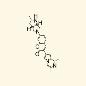 Cc1cn2cc(-c3cc4ccc(N5C[C@H]6CC(C)N[C@H]6C5)cc4oc3=O)cc2c(C)n1